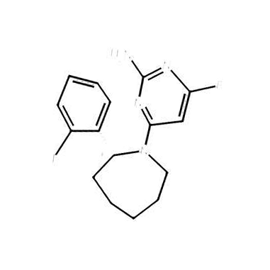 CCc1cc(N2CCCCC[C@@H]2c2ccccc2Cl)nc(N)n1